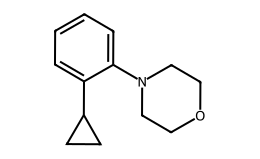 c1ccc(N2CCOCC2)c(C2CC2)c1